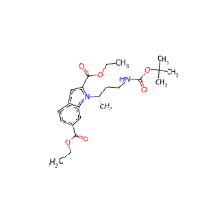 CCOC(=O)c1ccc2cc(C(=O)OCC)n([C@@H](C)CCNC(=O)OC(C)(C)C)c2c1